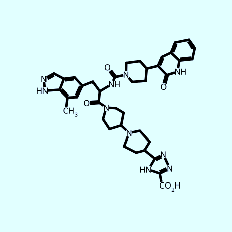 Cc1cc(CC(NC(=O)N2CCC(c3cc4ccccc4[nH]c3=O)CC2)C(=O)N2CCC(N3CCC(c4nnc(C(=O)O)[nH]4)CC3)CC2)cc2cn[nH]c12